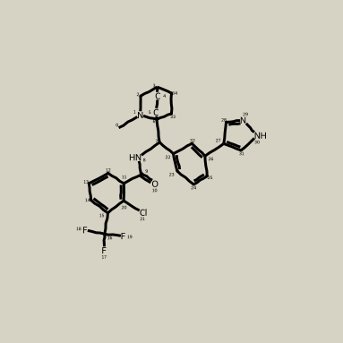 CN1CC2CCC1(C(NC(=O)c1cccc(C(F)(F)F)c1Cl)c1cccc(-c3cn[nH]c3)c1)CC2